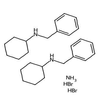 Br.Br.N.c1ccc(CNC2CCCCC2)cc1.c1ccc(CNC2CCCCC2)cc1